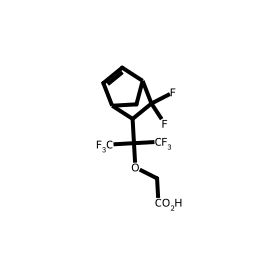 O=C(O)COC(C1C2C=CC(C2)C1(F)F)(C(F)(F)F)C(F)(F)F